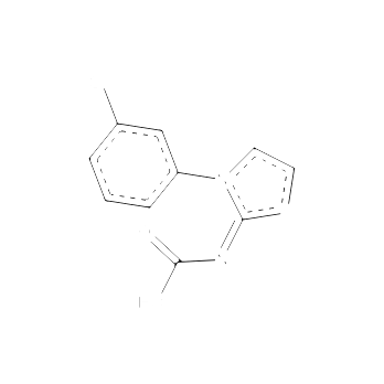 O=C(O)/N=c1/sccn1-c1cccc(Cl)c1